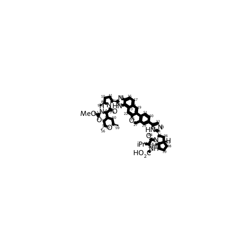 COC(=O)NC(C(=O)N1[C@@H](C)CC[C@H]1c1nc2ccc3cc4c(cc3c2[nH]1)OCc1cc(-c2cnc([C@@H]3C[C@@H]5CCC[C@@H]5N3C(=O)C(NC(=O)O)C(C)C)[nH]2)ccc1-4)C1C[C@@H](C)O[C@H](C)C1